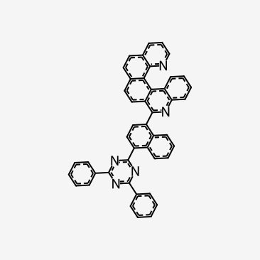 c1ccc(-c2nc(-c3ccccc3)nc(-c3ccc(-c4nc5ccccc5c5c4ccc4ccc6cccnc6c45)c4ccccc34)n2)cc1